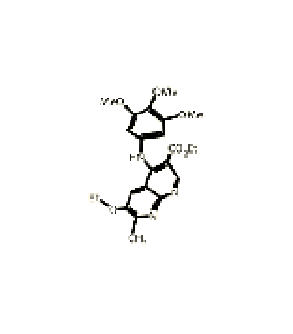 CCOC(=O)c1cnc2nc(C)c(OCC)cc2c1Nc1cc(OC)c(OC)c(OC)c1